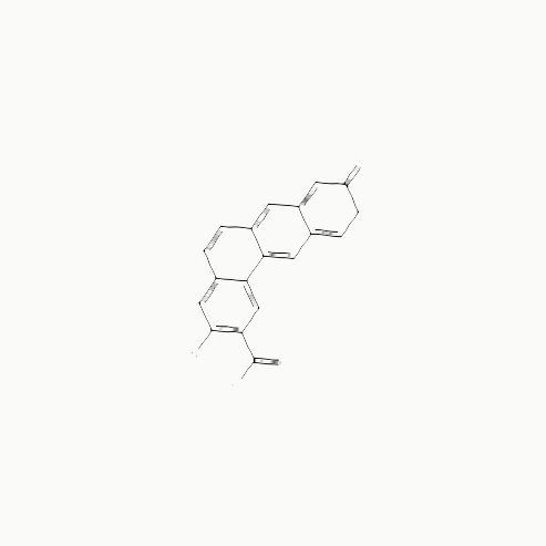 Nc1cc2ccc3cc4c(cc3c2cc1C(=O)O)=CCC(=O)C=4